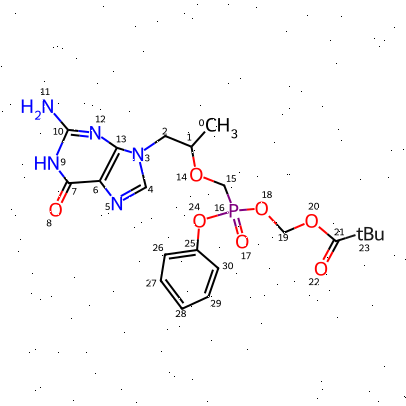 CC(Cn1cnc2c(=O)[nH]c(N)nc21)OCP(=O)(OCOC(=O)C(C)(C)C)Oc1ccccc1